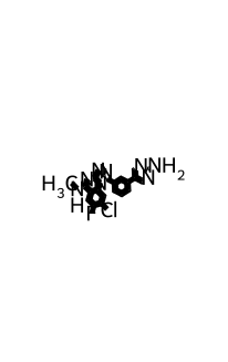 CNc1nc2nnc(-c3cccc(-c4cnc(N)nc4)c3)n2c2cc(Cl)c(F)cc12